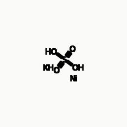 O=S(=O)(O)O.[KH].[Ni]